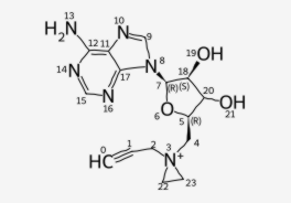 C#CC[N+]1(C[C@H]2O[C@@H](n3cnc4c(N)ncnc43)[C@@H](O)C2O)CC1